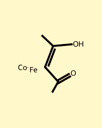 CC(=O)/C=C(/C)O.[Co].[Fe]